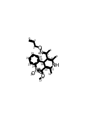 C=CCON=C(C)C1=C(C)NC(C)=C(C(=O)OC)C1c1ccccc1[N+](=O)[O-]